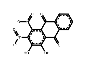 O=C1c2ccccc2C(=O)c2c1c(O)c(O)c([N+](=O)[O-])c2[N+](=O)[O-]